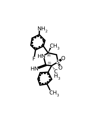 Cc1cccc([C@@]2(C)C(=N)N[C@](C)(c3cc(N)ccc3F)CS2(=O)=O)c1